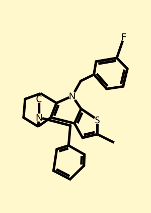 Cc1cc2c3c(n(Cc4cccc(F)c4)c2s1)C1CCC3N(Cc2ccccc2)C1